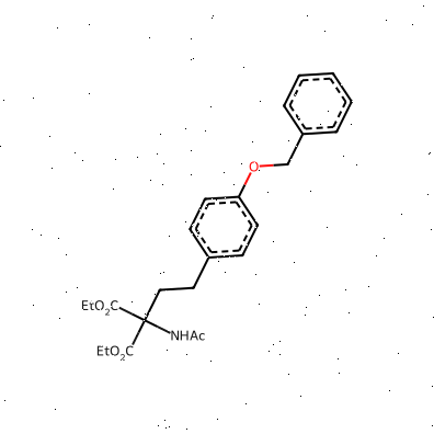 CCOC(=O)C(CCc1ccc(OCc2ccccc2)cc1)(NC(C)=O)C(=O)OCC